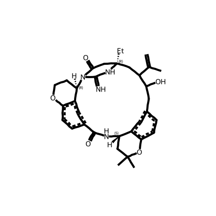 C=C(C)C1C[C@]2(CC)CC(=O)N(C(=N)N2)[C@@H]2CCOc3ccc(cc32)C(=O)N[C@H]2CC(C)(C)Oc3ccc(cc32)CC1O